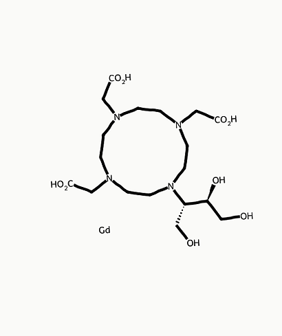 O=C(O)CN1CCN(CC(=O)O)CCN([C@@H](CO)[C@@H](O)CO)CCN(CC(=O)O)CC1.[Gd]